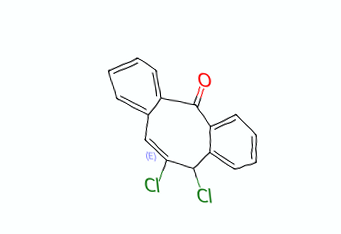 O=C1c2ccccc2/C=C(/Cl)C(Cl)c2ccccc21